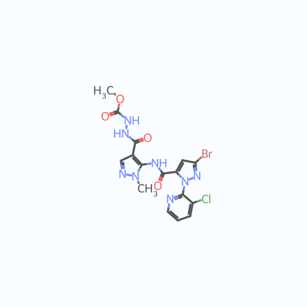 COC(=O)NNC(=O)c1cnn(C)c1NC(=O)c1cc(Br)nn1-c1ncccc1Cl